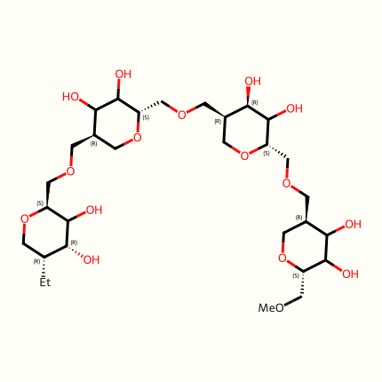 CC[C@@H]1CO[C@@H](COC[C@@H]2CO[C@@H](COC[C@@H]3CO[C@@H](COC[C@@H]4CO[C@@H](COC)C(O)C4O)C(O)[C@@H]3O)C(O)C2O)C(O)[C@@H]1O